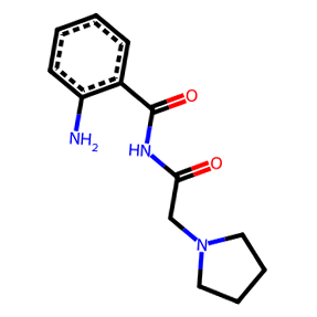 Nc1ccccc1C(=O)NC(=O)CN1CCCC1